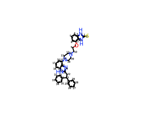 S=c1[nH]c2cccc(OCCN3CCN(c4cccc5[nH]c(CC(c6ccccc6)c6ccccc6)nc45)CC3)c2[nH]1